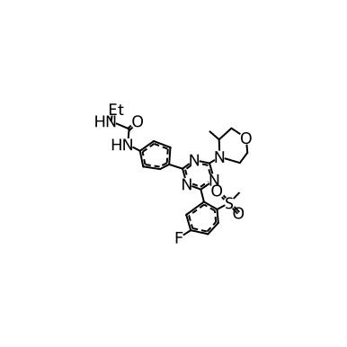 CCNC(=O)Nc1ccc(-c2nc(-c3cc(F)ccc3S(C)(=O)=O)nc(N3CCOCC3C)n2)cc1